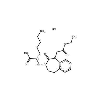 CCOC(=O)CN1C(=O)[C@@H](N[C@@H](CCCCN)C(=O)O)CCc2ccccc21.Cl